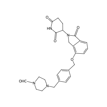 O=CN1CCN(Cc2ccc(COc3cccc4c3CN(C3CCC(=O)NC3=O)C4=O)cc2)CC1